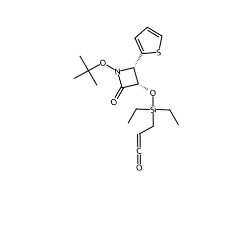 CC[Si](CC)(CC=C=O)O[C@@H]1C(=O)N(OC(C)(C)C)[C@@H]1c1cccs1